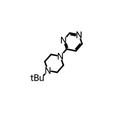 CC(C)(C)N1CCN(c2ccncn2)CC1